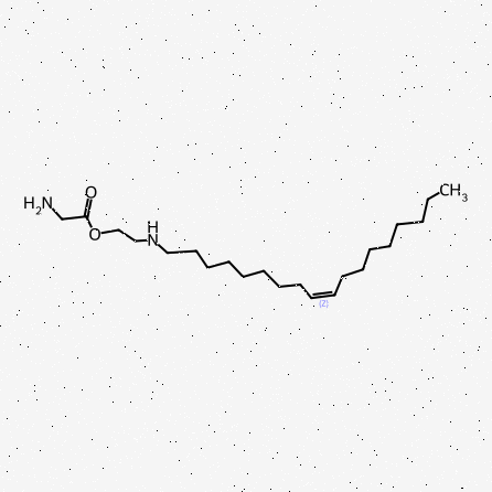 CCCCCCCC/C=C\CCCCCCCCNCCOC(=O)CN